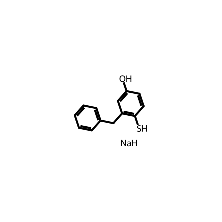 Oc1ccc(S)c(Cc2ccccc2)c1.[NaH]